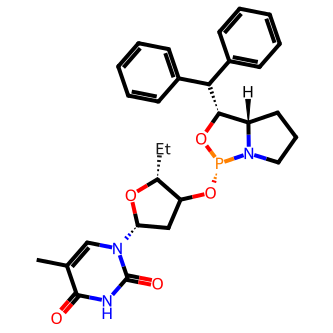 CC[C@H]1O[C@@H](n2cc(C)c(=O)[nH]c2=O)CC1O[P@]1O[C@H](C(c2ccccc2)c2ccccc2)[C@@H]2CCCN21